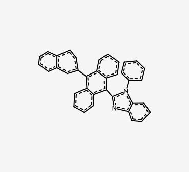 c1ccc(-n2c(-c3c4ccccc4c(-c4ccc5ccccc5c4)c4ccccc34)nc3ccccc32)cc1